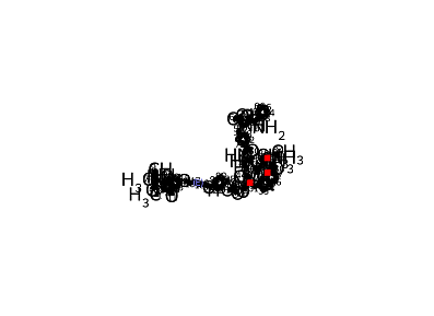 CC[C@H](NC(=O)[C@H](C)NC)C(=O)N1C[C@@H](OC/C=C/COc2ccc(C[C@H](NC(=O)[C@H](Cc3ccc4ccccc4c3)NC(=O)[C@@H]3C[C@H](NC(=O)c4ccc(C[C@H](NC(=O)[C@@H](N)c5ccccc5)C(=O)O)cc4)CN3C(=O)[C@@H](NC(=O)[C@H](C)NC)C(C)(C)C)C(=O)O)cc2)CC1(O)C=O